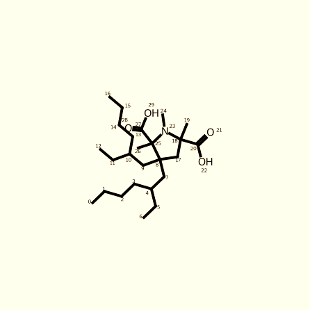 CCCCC(CC)CC1(CC(CC)CCCC)CC(C)(C(=O)O)N(C)C1(C)C(=O)O